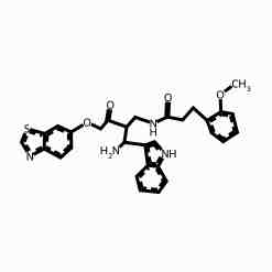 COc1ccccc1CCC(=O)NCC(C(=O)COc1ccc2ncsc2c1)C(N)c1c[nH]c2ccccc12